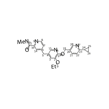 CCOc1cc(Cc2ccnc(C(=O)NC)c2)cnc1OCc1ccc(C2CC2)nc1